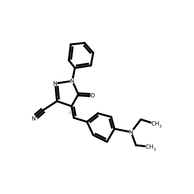 CCN(CC)c1ccc(/C=C2\C(=O)N(c3ccccc3)N=C2C#N)cc1